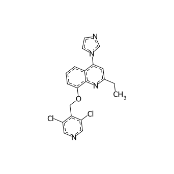 CCc1cc(-n2ccnc2)c2cccc(OCc3c(Cl)cncc3Cl)c2n1